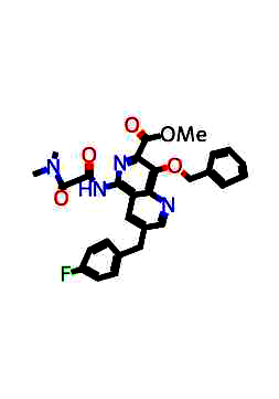 COC(=O)c1nc(NC(=O)C(=O)N(C)C)c2cc(Cc3ccc(F)cc3)cnc2c1OCc1ccccc1